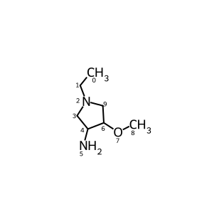 CCN1CC(N)C(OC)C1